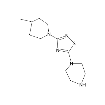 CC1CCN(c2nsc(N3CCNCC3)n2)CC1